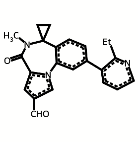 CCc1ncccc1-c1ccc2c(c1)-n1cc(C=O)cc1C(=O)N(C)C21CC1